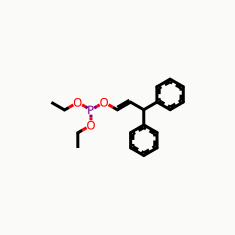 CCOP(OC=CC(c1ccccc1)c1ccccc1)OCC